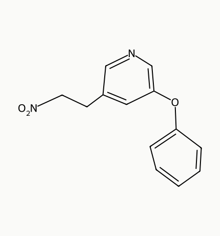 O=[N+]([O-])CCc1cncc(Oc2ccccc2)c1